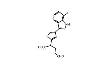 O=CCCC(C(=O)O)c1cc(-c2c[nH]c3c(F)cccc23)cs1